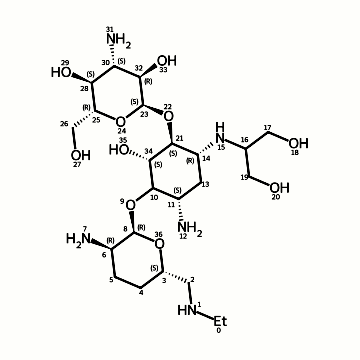 CCNC[C@@H]1CC[C@@H](N)[C@@H](OC2[C@@H](N)C[C@@H](NC(CO)CO)[C@H](O[C@H]3O[C@H](CO)[C@@H](O)[C@H](N)[C@H]3O)[C@H]2O)O1